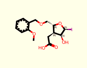 COc1ccccc1COC[C@@H]1O[C@@H](I)[C@@H](O)[C@H]1CC(=O)O